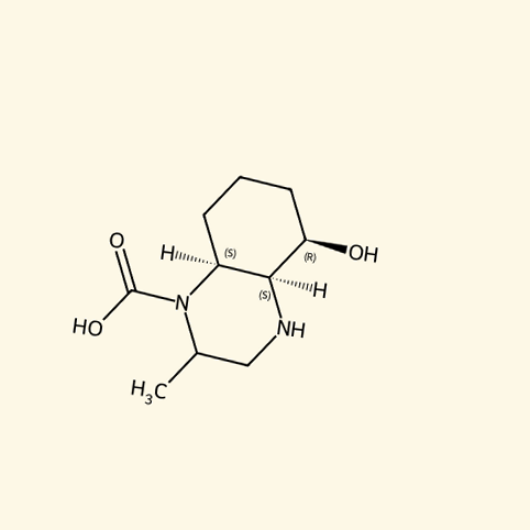 CC1CN[C@@H]2[C@H](O)CCC[C@@H]2N1C(=O)O